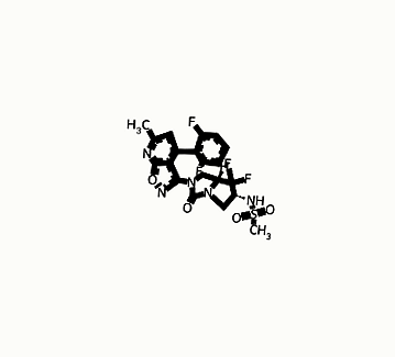 Cc1cc(-c2c(F)cccc2F)c2c(N3C[C@H]4N(C[C@@H](NS(C)(=O)=O)C4(F)F)C3=O)noc2n1